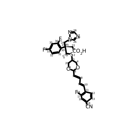 C[C@@H](SC1COC(C=CC=Cc2ccc(C#N)cc2F)OC1)[C@@](CC(=O)O)(Cn1cncn1)c1ccc(F)cc1F